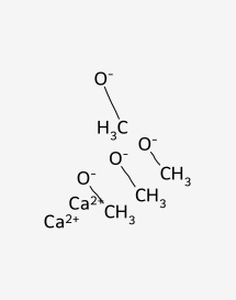 C[O-].C[O-].C[O-].C[O-].[Ca+2].[Ca+2]